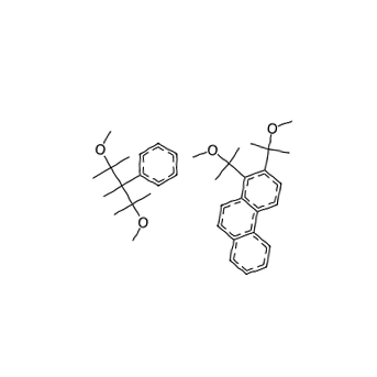 COC(C)(C)C(C)(c1ccccc1)C(C)(C)OC.COC(C)(C)c1ccc2c(ccc3ccccc32)c1C(C)(C)OC